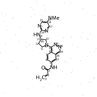 C=CC(=O)Nc1ccc2c(N3CC[C@@H](Nc4ncc(NC)cn4)C3)nncc2c1